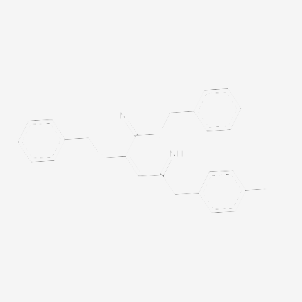 Cc1ccc(CC(=N)/C=C(/OCc2ccccc2)C(=N)OCc2ccccc2)cc1